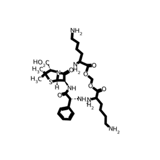 CC1(C)S[C@@H]2[C@H](NC(=O)[C@H](N)c3ccccc3)C(=O)N2[C@H]1C(=O)O.NCCCCC(N)C(=O)OCOC(=O)C(N)CCCCN